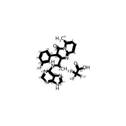 Cc1cccc2nc(C(C)Nc3ncnc4[nH]cnc34)c(-c3cccc(F)c3)c(=O)n12.O=C(O)C(F)(F)F